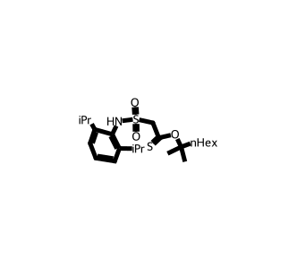 CCCCCCC(C)(C)OC(=S)CS(=O)(=O)Nc1c(C(C)C)cccc1C(C)C